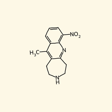 Cc1c2c(nc3c([N+](=O)[O-])cccc13)CCNCC2